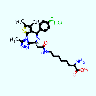 Cc1sc2c(c1C)C(c1ccc(Cl)cc1)=N[C@@H](CC(=O)NCCCCCCC(N)C(=O)O)c1nnc(C)n1-2.Cl